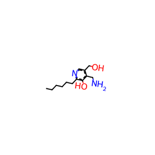 CCCCCCc1ncc(CO)c(CN)c1O